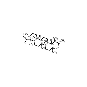 C[C@H]1[C@H](C)CC[C@]2(C)CC[C@]3(C)C(=CC[C@@H]4[C@@]5(C)CC[C@@H](O)C(C)(C(=O)O)C5CC[C@]43C)[C@H]12